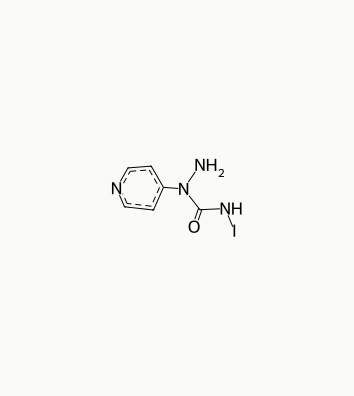 NN(C(=O)NI)c1ccncc1